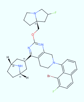 Fc1ccc2cccc(N3CCc4c(nc(OC[C@@]56CCCN5CC(F)C6)nc4[C@@H]4C[C@H]5CC[C@@H](C4)N5)C3)c2c1Br